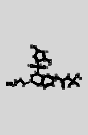 CCn1cc(S(=O)(=O)N2C[C@@H](CCC(=O)O)Cc3ncc(NC(=O)OC(C)(C)C(F)(F)F)cc32)c(Cl)n1